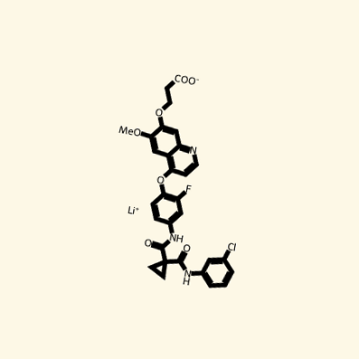 COc1cc2c(Oc3ccc(NC(=O)C4(C(=O)Nc5cccc(Cl)c5)CC4)cc3F)ccnc2cc1OCCC(=O)[O-].[Li+]